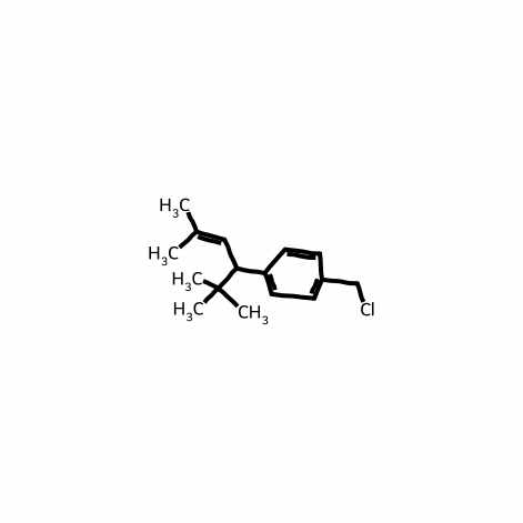 CC(C)=CC(c1ccc(CCl)cc1)C(C)(C)C